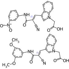 COc1cc(NC(=O)/C(C#N)=C/c2cn(CC(=O)O)c3ccccc23)cc(OC)c1.N#C/C(=C\c1cn(CC(=O)O)c2ccccc12)C(=O)Nc1cccc([N+](=O)[O-])c1